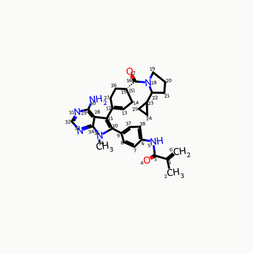 C=C(C)C(=O)Nc1ccc(-c2c(C3=CC[C@@H](C(=O)N4CCCC4C4CC4)CC3)c3c(N)ncnc3n2C)cc1